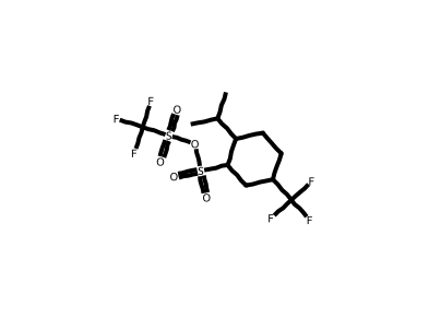 CC(C)C1CCC(C(F)(F)F)CC1S(=O)(=O)OS(=O)(=O)C(F)(F)F